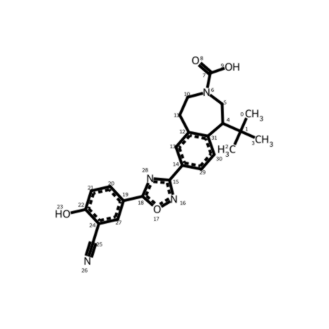 CC(C)(C)C1CN(C(=O)O)CCc2cc(-c3noc(-c4ccc(O)c(C#N)c4)n3)ccc21